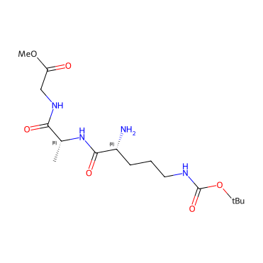 COC(=O)CNC(=O)[C@@H](C)NC(=O)[C@H](N)CCCNC(=O)OC(C)(C)C